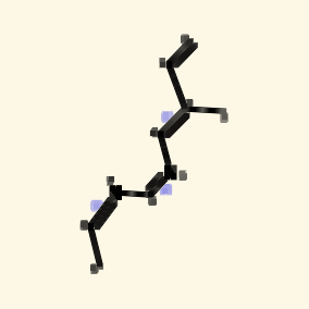 C=C/C(C)=C/N=C\N=C/C